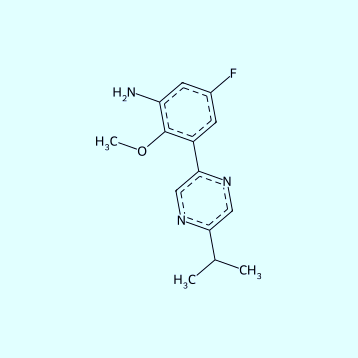 COc1c(N)cc(F)cc1-c1cnc(C(C)C)cn1